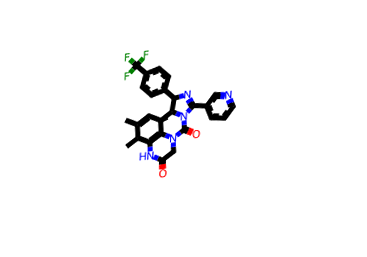 CC1=CC2(C)C3=C(NC(=O)CN3C(=O)N3C(c4cccnc4)=NC(c4ccc(C(F)(F)F)cc4)C32)C1C